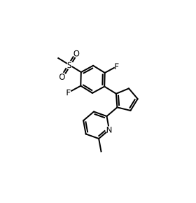 Cc1cccc(C2=C(c3cc(F)c(S(C)(=O)=O)cc3F)CC=C2)n1